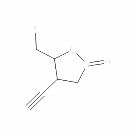 C#CC1CS(=O)OC1CF